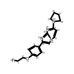 FCCOc1ccc(-c2cn3ccc(N4CCCC4)nc3n2)cc1